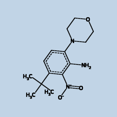 CC(C)(C)c1ccc(N2CCOCC2)c(N)c1[N+](=O)[O-]